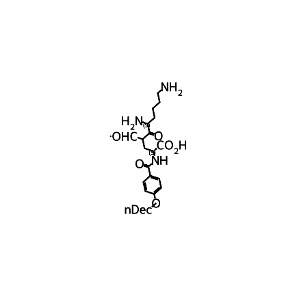 CCCCCCCCCCOc1ccc(C(=O)N[C@@H](CC([C]=O)C(=O)[C@@H](N)CCCCN)C(=O)O)cc1